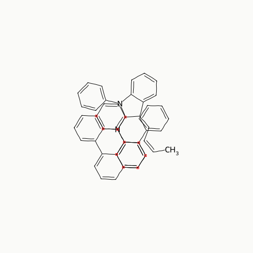 C/C=C\C=C1\c2ccccc2N(c2ccccc2)C1N(c1ccccc1-c1ccccc1)c1ccccc1-c1cccc2cccc(-c3ccccc3)c12